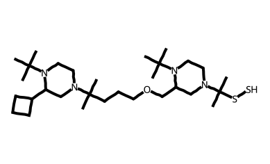 CC(C)(C)N1CCN(C(C)(C)SS)CC1COCCCC(C)(C)N1CCN(C(C)(C)C)C(C2CCC2)C1